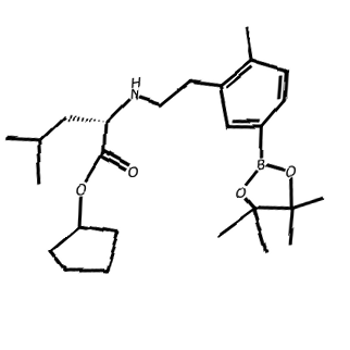 Cc1ccc(B2OC(C)(C)C(C)(C)O2)cc1CCN[C@@H](CC(C)C)C(=O)OC1CCCC1